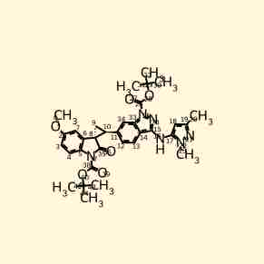 COc1ccc2c(c1)[C@]1(C[C@H]1c1ccc3c(Nc4cc(C)nn4C)nn(C(=O)OC(C)(C)C)c3c1)C(=O)N2C(=O)OC(C)(C)C